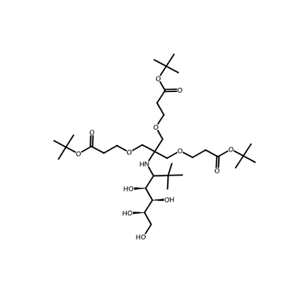 CC(C)(C)OC(=O)CCOCC(COCCC(=O)OC(C)(C)C)(COCCC(=O)OC(C)(C)C)NC([C@H](O)[C@@H](O)[C@H](O)CO)C(C)(C)C